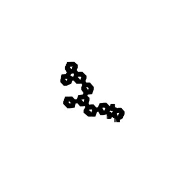 c1ccc(-c2cc(-c3cccc(-c4ccc5c(c4)Sc4ncccc4S5)c3)cc(-c3cccc(-c4ccc5c6ccccc6c6ccccc6c5c4)c3)c2)cc1